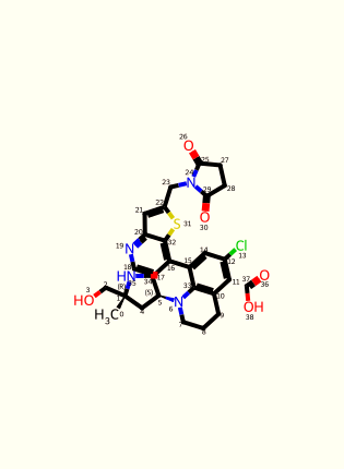 C[C@]1(CO)C[C@H](N2CCCc3cc(Cl)cc(-c4ccnc5cc(CN6C(=O)CCC6=O)sc45)c32)CN1.O=CO